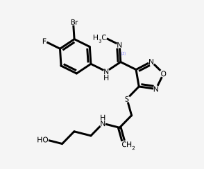 C=C(CSc1nonc1/C(=N/C)Nc1ccc(F)c(Br)c1)NCCCO